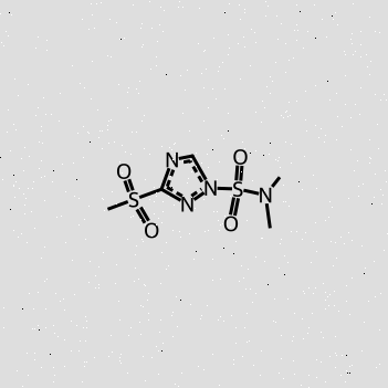 CN(C)S(=O)(=O)n1cnc(S(C)(=O)=O)n1